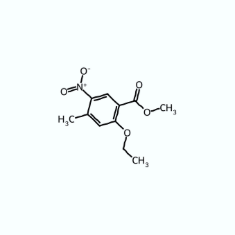 CCOc1cc(C)c([N+](=O)[O-])cc1C(=O)OC